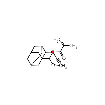 C=C(C)C(=O)OC(OC)C12CC3CC(CC(C3)C1CC#N)C2